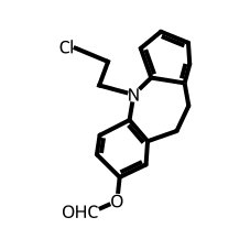 O=COc1ccc2c(c1)CCc1ccccc1N2CCCl